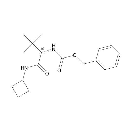 CC(C)(C)[C@H](NC(=O)OCc1ccccc1)C(=O)NC1CCC1